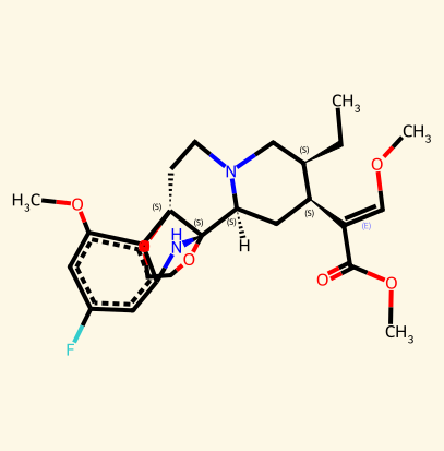 CC[C@@H]1CN2CC[C@@]34OCCO[C@@]3(Nc3cc(F)cc(OC)c34)[C@@H]2C[C@@H]1/C(=C\OC)C(=O)OC